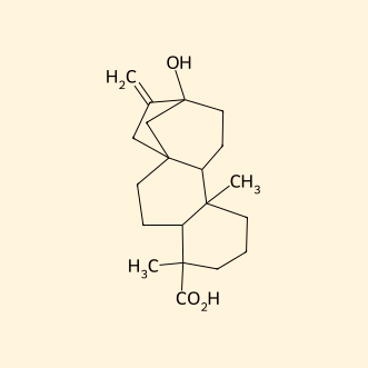 C=C1CC23CCC4C(C)(C(=O)O)CCCC4(C)C2CCC1(O)C3